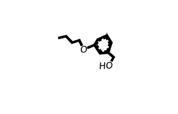 CCCCOc1c[c]cc(CO)c1